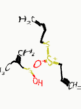 C=C(C)SO.C=CCS[S+]([O-])CC=C